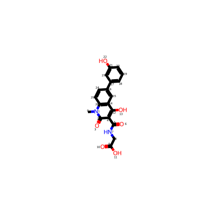 Cn1c(=O)c(C(=O)NCC(=O)O)c(O)c2cc(-c3cccc(O)c3)ccc21